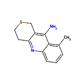 Cc1cccc2nc3c(c(N)c12)CSCC3